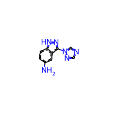 Nc1ccc2[nH]nc(-n3cncn3)c2c1